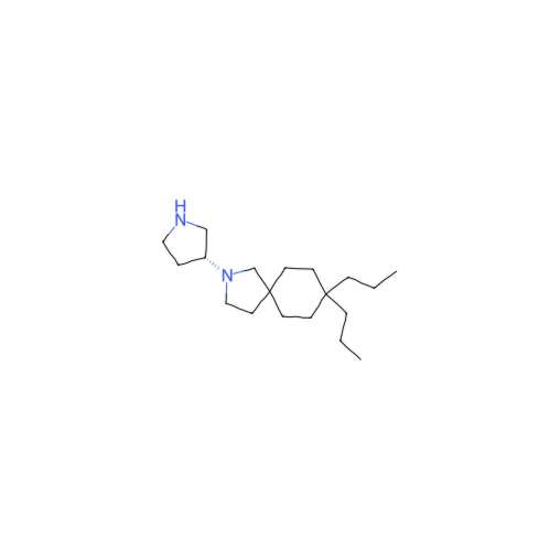 CCCC1(CCC)CCC2(CCN([C@@H]3CCNC3)C2)CC1